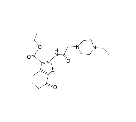 CCOC(=O)c1c(NC(=O)CN2CCN(CC)CC2)sc2c1CCCC2=O